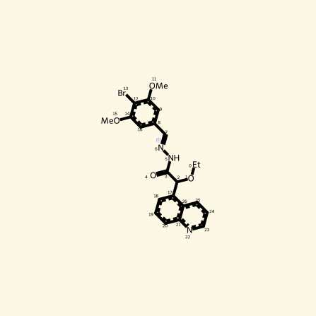 CCOC(C(=O)N/N=C/c1cc(OC)c(Br)c(OC)c1)c1cccc2ncccc12